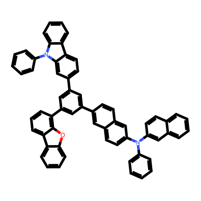 c1ccc(N(c2ccc3ccccc3c2)c2ccc3cc(-c4cc(-c5ccc6c7ccccc7n(-c7ccccc7)c6c5)cc(-c5cccc6c5oc5ccccc56)c4)ccc3c2)cc1